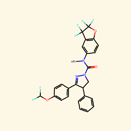 CCCN(C(=O)N1CC(c2ccccc2)C(c2ccc(OC(F)F)cc2)=N1)c1ccc2c(c1)C(F)(F)C(F)(F)O2